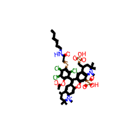 CCCCCCNC(=O)CSc1c(Cl)c(Cl)c(OC(C)=O)c(C2=c3cc4c(cc3Oc3c2cc2c(c3S(=O)(=O)O)N(C)C(C)(C)CC2CS(=O)(=O)O)=[N+](C)C(C)(C)CC4C)c1Cl